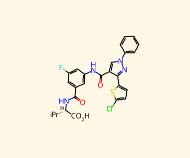 CC(C)[C@H](NC(=O)c1cc(F)cc(NC(=O)c2cn(-c3ccccc3)nc2-c2ccc(Cl)s2)c1)C(=O)O